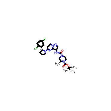 C[C@H]1CN(C(=O)NC2C=NN3C=CC(N4CCC[C@@H]4c4cc(F)ccc4Cl)=NC23)CCN1C(=O)OC(C)(C)C